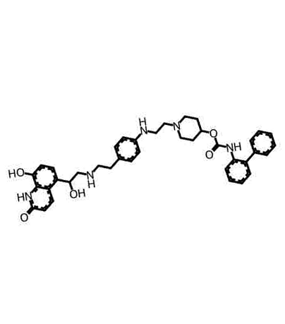 O=C(Nc1ccccc1-c1ccccc1)OC1CCN(CCNc2ccc(CCNCC(O)c3ccc(O)c4[nH]c(=O)ccc34)cc2)CC1